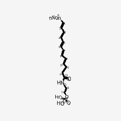 CCCCCCCCCC=CC=CC=CC=CC=CC=CC(=O)NCCOP(=O)(O)O